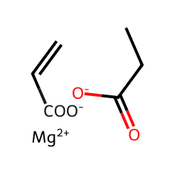 C=CC(=O)[O-].CCC(=O)[O-].[Mg+2]